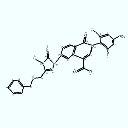 C=C(c1cn(-c2c(F)cc(N)cc2Cl)c(=O)c2ccc(-n3nc(COCc4ccccc4)n(CC)c3=O)cc12)C(F)(F)F